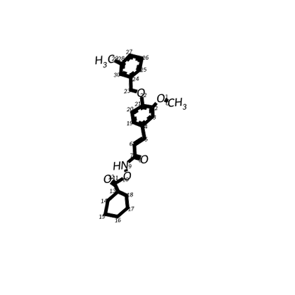 COc1cc(/C=C/C(=O)NOC(=O)C2CCCCC2)ccc1OCc1cccc(C)c1